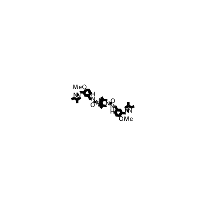 COc1ccc(CNC(=O)N2CC3(C)CN(C(=O)NCc4ccc(OC)c(Cn5cc(C)c(C)n5)c4)CC(C)(C2)C3=O)cc1Cn1cc(C)c(C)n1